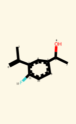 C=C(C)c1cc(C(C)O)ccc1F